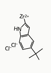 CC(C)(C)c1ccc2[nH][c]([Zr+2])cc2c1.[Cl-].[Cl-]